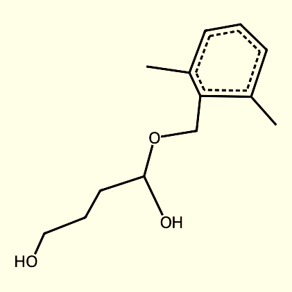 Cc1cccc(C)c1COC(O)CCCO